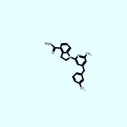 CNC(=O)c1cccc2c1CCN2c1cc(Cc2cccc(C(F)(F)F)c2)cc(C)n1